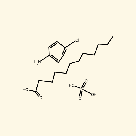 CCCCCCCCCCCC(=O)O.Nc1ccc(Cl)cc1.O=S(=O)(O)O